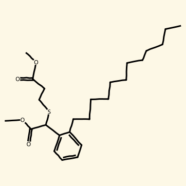 CCCCCCCCCCCCc1ccccc1C(SCCC(=O)OC)C(=O)OC